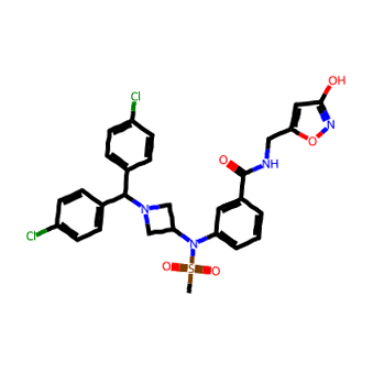 CS(=O)(=O)N(c1cccc(C(=O)NCc2cc(O)no2)c1)C1CN(C(c2ccc(Cl)cc2)c2ccc(Cl)cc2)C1